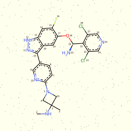 CNC1(C)CN(c2ccc(-c3n[nH]c4cc(F)c(O[C@H](N)c5c(Cl)cncc5Cl)cc34)cn2)C1